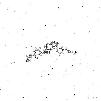 O=C(O)Cc1cccc(-n2nnc3cnc(Nc4cccc(C(=O)NCCO)c4)nc32)c1